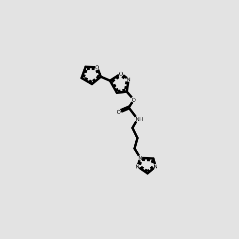 O=C(NCCCn1cncn1)Oc1cc(-c2ccco2)on1